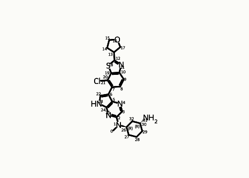 CN(c1cnc2c(-c3ccc4nc(C5CCOC5)sc4c3Cl)c[nH]c2n1)[C@@H]1CCC[C@@H](N)C1